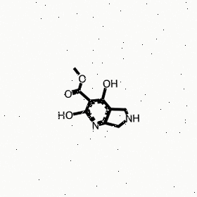 COC(=O)c1c(O)nc2c(c1O)CNC2